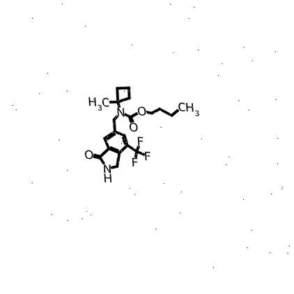 CCCCOC(=O)N(Cc1cc2c(c(C(F)(F)F)c1)CNC2=O)C1(C)CCC1